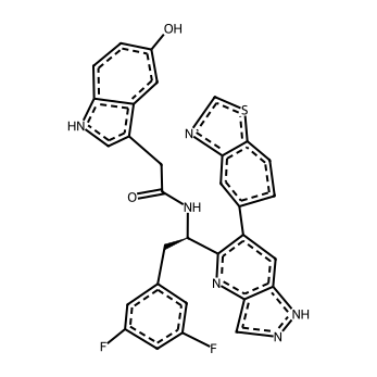 O=C(Cc1c[nH]c2ccc(O)cc12)N[C@H](Cc1cc(F)cc(F)c1)c1nc2cn[nH]c2cc1-c1ccc2scnc2c1